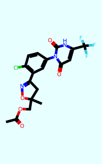 CC(=O)OCC1(C)CC(c2cc(-n3c(=O)cc(C(F)(F)F)[nH]c3=O)ccc2Cl)=NO1